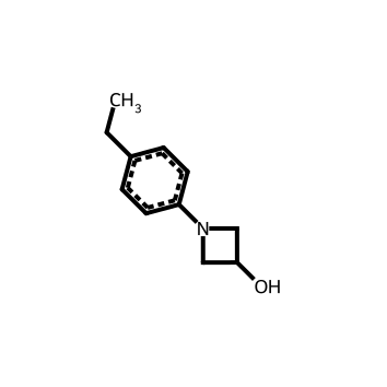 CCc1ccc(N2CC(O)C2)cc1